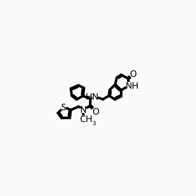 CN(Cc1cccs1)C(=O)[C@H](NCc1ccc2[nH]c(=O)ccc2c1)c1ccccc1